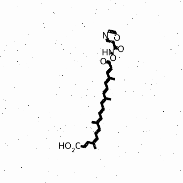 CC(=C/C=C/C(C)=C/C=C/C=C(C)/C=C/C=C(C)/C=C/C(=O)ONC(=O)C1C=NC=CO1)/C=C/C(=O)O